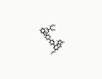 CCOc1cc(-c2ccc(N3CCC(Cc4ccccc4)(NCC(=O)[C@H](O)CO)CC3)nc2)c2c3cn[nH]c3nn2c1